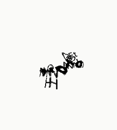 CCS(=O)(=O)Cc1cc(N2CCOC[C@@H]2C)nc(-c2ccc(NC(=O)Nc3cnn(C)c3)cc2)n1